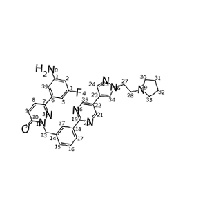 Nc1cc(F)cc(-c2ccc(=O)n(Cc3cccc(-c4ncc(-c5cnn(CCN6CCCC6)c5)cn4)c3)n2)c1